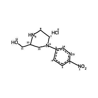 Cl.O=[N+]([O-])c1ccc(N2CCNC(CO)C2)cn1